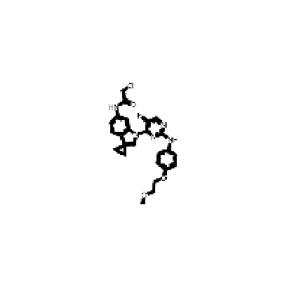 COCCOc1ccc(Nc2ncc(F)c(N3CC4(CC4)c4ccc(NC(=O)CCl)cc43)n2)cc1